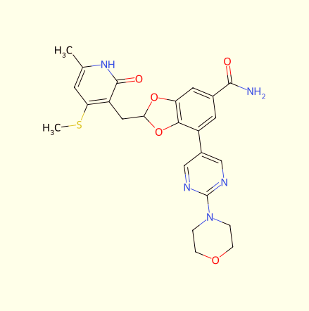 CSc1cc(C)[nH]c(=O)c1CC1Oc2cc(C(N)=O)cc(-c3cnc(N4CCOCC4)nc3)c2O1